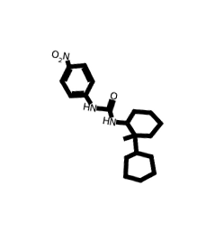 CC1(C2CCCCC2)CCCCC1NC(=O)Nc1ccc([N+](=O)[O-])cc1